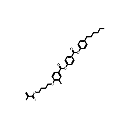 C=C(C)C(=O)OCCCCOc1ccc(C(=O)Oc2ccc(C(=O)Oc3ccc(CCCCCC)cc3)cc2)cc1C